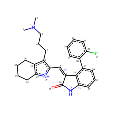 CN(C)CCCc1c(/C=C2\C(=O)Nc3cccc(-c4ccccc4Cl)c32)[nH]c2c1CCCC2